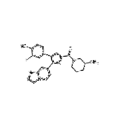 N#Cc1ccc(-c2cc(C(=O)N3CCCC(N)C3)sc2-c2ccn3cnnc3c2)cc1F